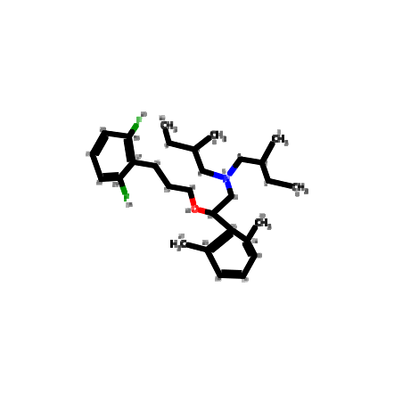 CCC(C)CN(CC(C)CC)CC(OCCCc1c(F)cccc1F)c1c(C)cccc1C